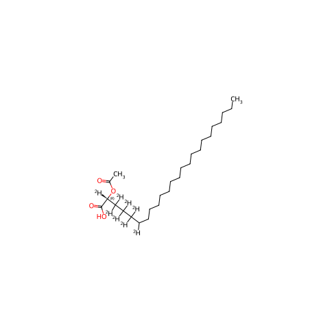 [2H]C(CCCCCCCCCCCCCCCCCC)C([2H])([2H])C([2H])([2H])C([2H])([2H])[C@@]([2H])(OC(C)=O)C(=O)O